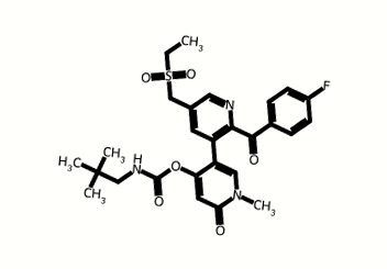 CCS(=O)(=O)Cc1cnc(C(=O)c2ccc(F)cc2)c(-c2cn(C)c(=O)cc2OC(=O)NCC(C)(C)C)c1